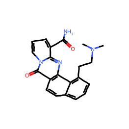 CN(C)CCc1cccc2ccc3c(=O)n4cccc(C(N)=O)c4nc3c12